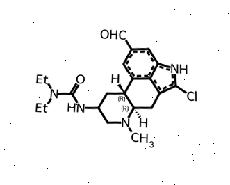 CCN(CC)C(=O)NC1C[C@@H]2c3cc(C=O)cc4[nH]c(Cl)c(c34)C[C@H]2N(C)C1